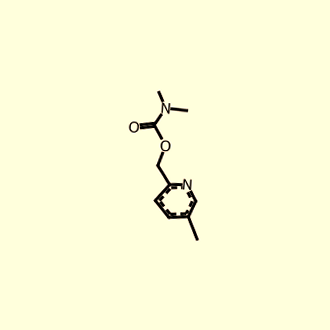 Cc1ccc(COC(=O)N(C)C)nc1